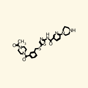 CC(=O)N1CCN(C(=O)c2cccc(CSc3cnc(NC(=O)c4ccc(N5CCCNCC5)nc4)s3)c2)CC1